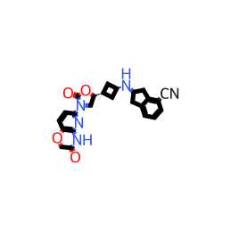 N#Cc1cccc2c1CC(N[C@H]1C[C@@H](C3CN(c4ccc5c(n4)NC(=O)CO5)C(=O)O3)C1)C2